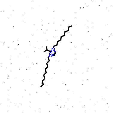 CCCCCCCCCCC[n+]1ccn(CCCCCCCCCC)c1C(C)C